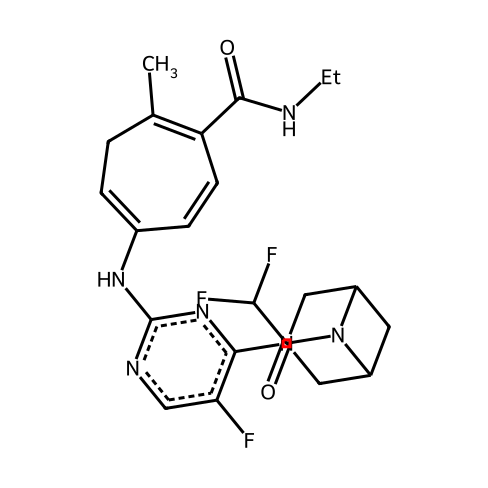 CCNC(=O)C1=C(C)CC=C(Nc2ncc(F)c(N3CC4CC(C3)N4C(=O)C(F)F)n2)C=C1